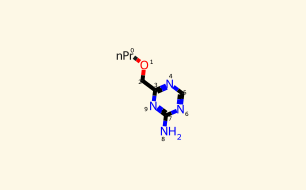 CCCOCc1ncnc(N)n1